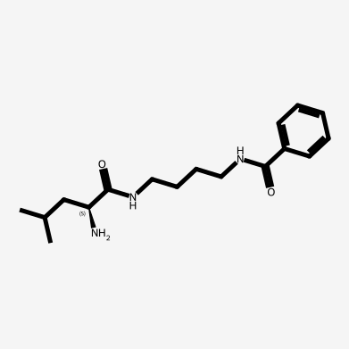 CC(C)C[C@H](N)C(=O)NCCCCNC(=O)c1ccccc1